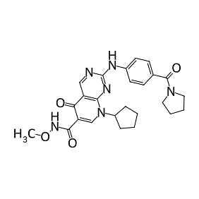 CONC(=O)c1cn(C2CCCC2)c2nc(Nc3ccc(C(=O)N4CCCC4)cc3)ncc2c1=O